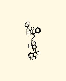 O=C(NC(CCN1CC2CN(C(=O)c3cccnc3F)C[C@@H]2C1)c1ccccc1)OC1CCOC1